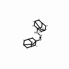 C1C2CC3CC1CC(/N=N\NC14CC5CC(CC(C5)C1)C4)(C2)C3